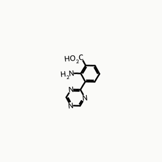 Nc1c(C(=O)O)cccc1-c1ncncn1